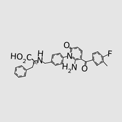 Cc1cc(C(=O)c2ccc(=O)n(-c3ccc(CN[C@@H](Cc4ccccc4)C(=O)O)cc3)c2N)ccc1F